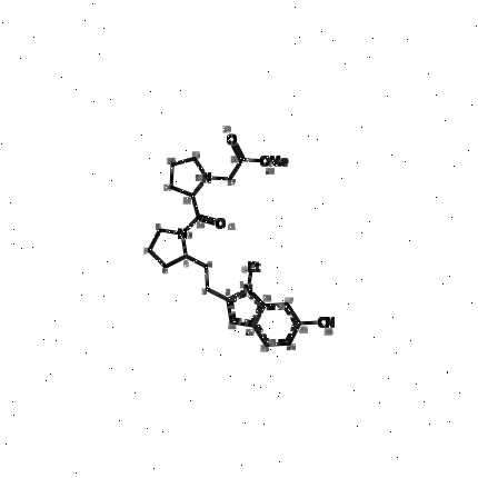 CCn1c(CCC2CCCN2C(=O)C2CCCN2CC(=O)OC)cc2ccc(C#N)cc21